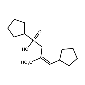 O=C(O)C(=CC1CCCC1)CP(=O)(O)C1CCCC1